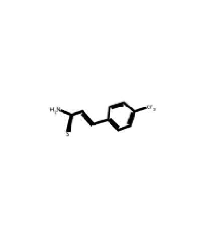 NC(=S)C=Cc1ccc(C(F)(F)F)cc1